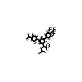 CC(=O)C(CC(C)C)c1cc(-c2ccc(C(C)C)cc2)cc(-c2ccc(C(F)(F)F)cc2)c1